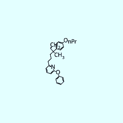 C=CC(C)(CCCc1cccc(Oc2ccccc2)n1)c1ccc(OCCC)cc1